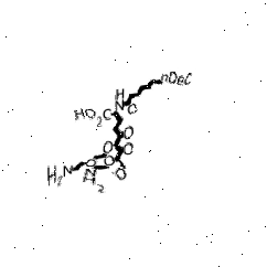 CCCCCCCCCCCCCCCCC(=O)N[C@@H](CCC(=O)[C@@H](OCCOCCN)C(=O)[C@@H](C[O])OCCN)C(=O)O